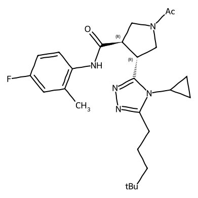 CC(=O)N1C[C@H](C(=O)Nc2ccc(F)cc2C)[C@@H](c2nnc(CCCC(C)(C)C)n2C2CC2)C1